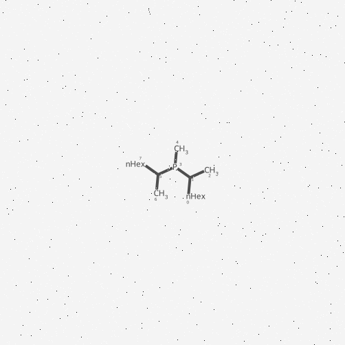 CCCCCCC(C)P(C)C(C)CCCCCC